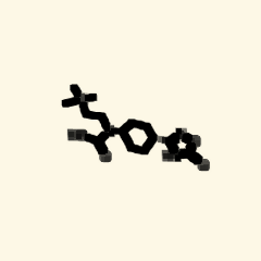 C[Si](C)(C)CCN(C(=O)O)[C@H]1CC[C@H](c2noc(=O)[nH]2)CC1